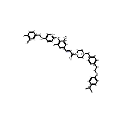 Cc1ccc(COc2ccc(Oc3c(C)cc(/C=C/C(=O)N4CCN(Cc5ccc(CCOc6ccc(C(C)C)cc6)cc5)CC4)cc3Cl)nc2)cc1F